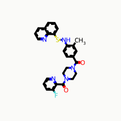 Cc1cc(C(=O)N2CCN(C(=O)c3ncccc3F)CC2)ccc1NSc1cccc2cccnc12